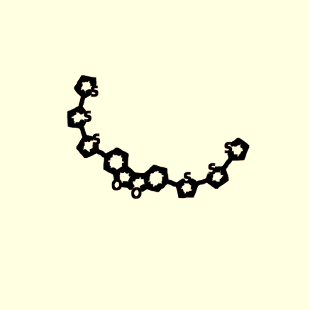 c1csc(-c2ccc(-c3ccc(-c4ccc5c(c4)oc4oc6cc(-c7ccc(-c8ccc(-c9cccs9)s8)s7)ccc6c45)s3)s2)c1